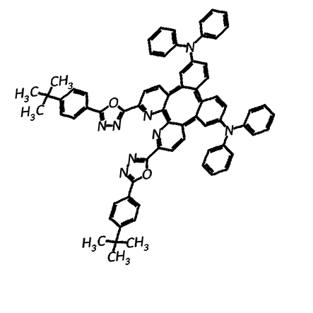 CC(C)(C)c1ccc(-c2nnc(-c3ccc4/c(n3)=c3/nc(-c5nnc(-c6ccc(C(C)(C)C)cc6)o5)cc/c3=c3\cc(N(c5ccccc5)c5ccccc5)cc\c3=c3/ccc(N(c5ccccc5)c5ccccc5)c/c3=4)o2)cc1